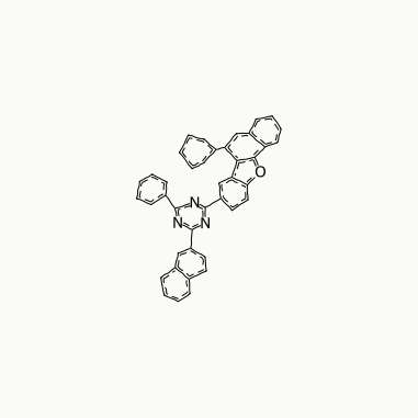 c1ccc(-c2nc(-c3ccc4ccccc4c3)nc(-c3ccc4oc5c6ccccc6cc(-c6ccccc6)c5c4c3)n2)cc1